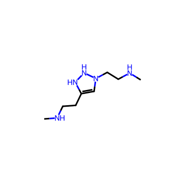 CNCCC1=CN(CCNC)NN1